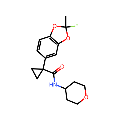 CC1(F)Oc2ccc(C3(C(=O)NC4CCOCC4)CC3)cc2O1